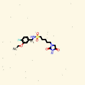 C[C@@H](NS(=O)(=O)CCCCCN1CC(=O)NC1=O)c1ccc(F)c(OCC#N)c1